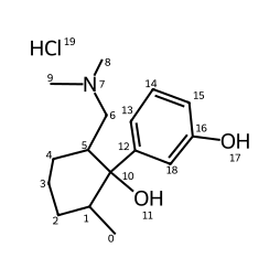 CC1CCCC(CN(C)C)C1(O)c1cccc(O)c1.Cl